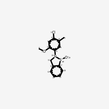 COc1cc(Cl)c(C)cc1N1Cc2ccccc2[S+]1[O-]